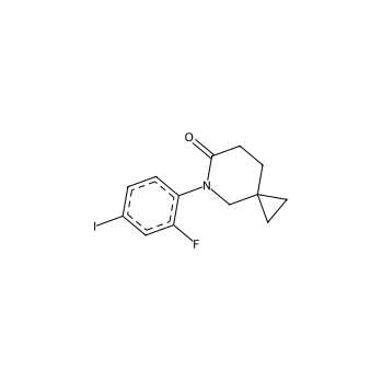 O=C1CCC2(CC2)CN1c1ccc(I)cc1F